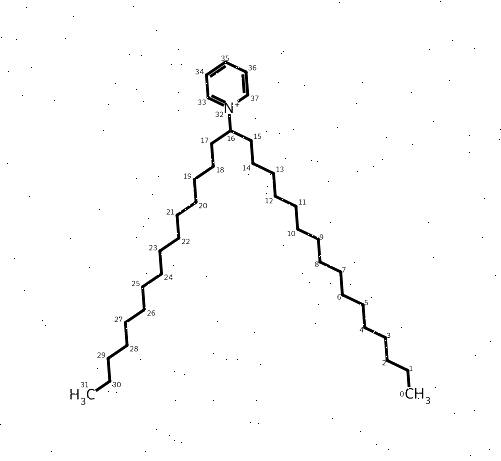 CCCCCCCCCCCCCCCCC(CCCCCCCCCCCCCCC)[n+]1ccccc1